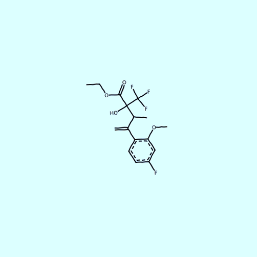 C=C(c1ccc(F)cc1OC)C(C)C(O)(C(=O)OCC)C(F)(F)F